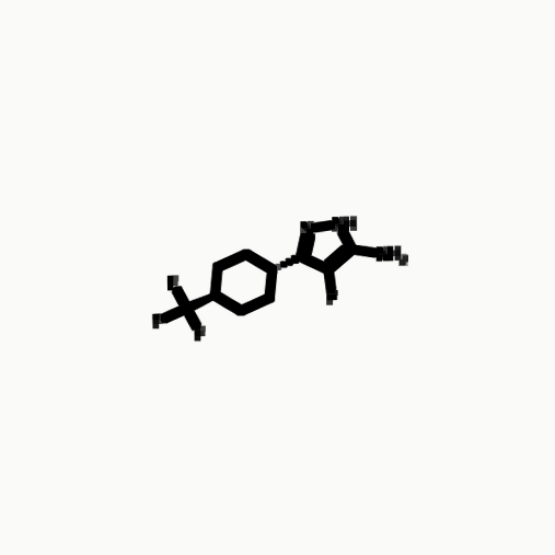 Nc1[nH]nc([C@H]2CC[C@H](C(F)(F)F)CC2)c1F